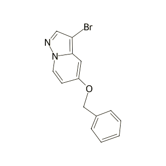 Brc1cnn2ccc(OCc3ccccc3)cc12